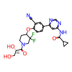 N#Cc1cc(-c2cc(NC(=O)C3CC3)ncn2)ccc1OC1CCN(C(=O)[C@@H](O)CO)CC1(F)F